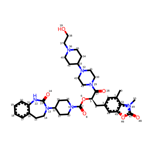 Cc1cc(C[C@@H](OC(=O)N2CCC(N3CCc4ccccc4NC3=O)CC2)C(=O)N2CCN(C3CCN(CCO)CC3)CC2)cc2oc(=O)n(C)c12